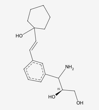 NC(c1cccc(C=CC2(O)CCCCC2)c1)[C@H](O)CO